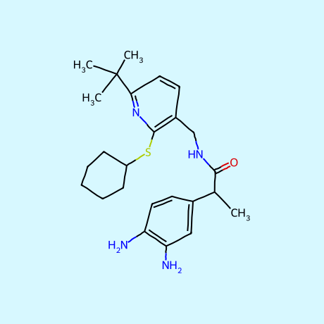 CC(C(=O)NCc1ccc(C(C)(C)C)nc1SC1CCCCC1)c1ccc(N)c(N)c1